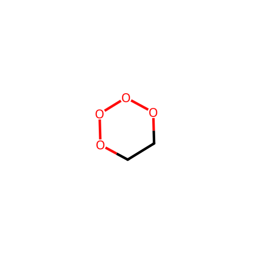 C1COOOO1